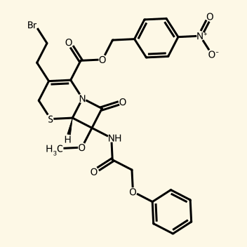 COC1(NC(=O)COc2ccccc2)C(=O)N2C(C(=O)OCc3ccc([N+](=O)[O-])cc3)=C(CCBr)CS[C@H]21